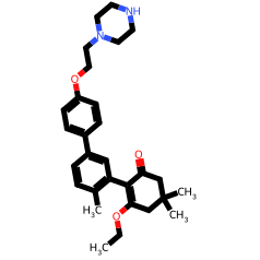 CCOC1=C(c2cc(-c3ccc(OCCN4CCNCC4)cc3)ccc2C)C(=O)CC(C)(C)C1